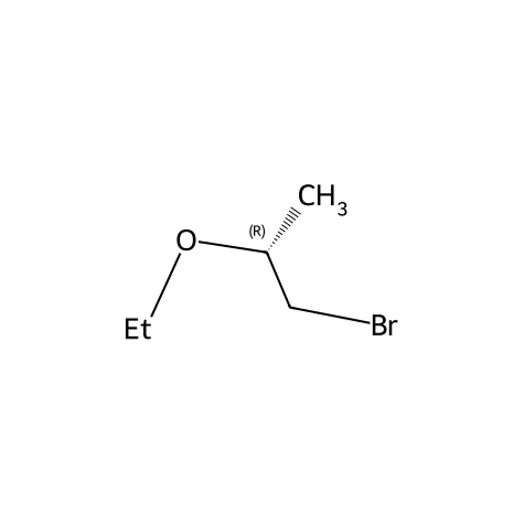 CCO[C@H](C)CBr